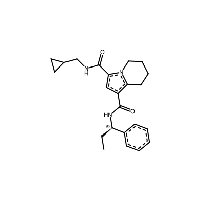 CC[C@@H](NC(=O)c1cc(C(=O)NCC2CC2)n2c1CCCC2)c1ccccc1